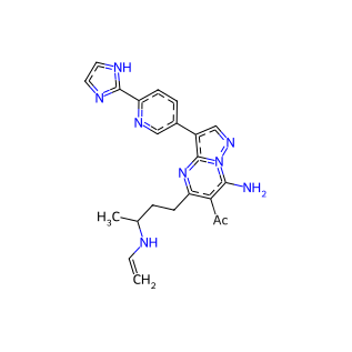 C=CNC(C)CCc1nc2c(-c3ccc(-c4ncc[nH]4)nc3)cnn2c(N)c1C(C)=O